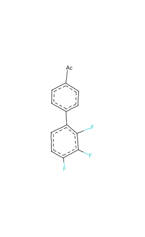 CC(=O)c1ccc(-c2ccc(F)c(F)c2F)cc1